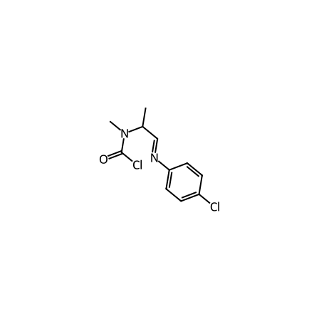 CC(C=Nc1ccc(Cl)cc1)N(C)C(=O)Cl